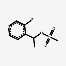 CC(OS(C)(=O)=O)c1ccncc1F